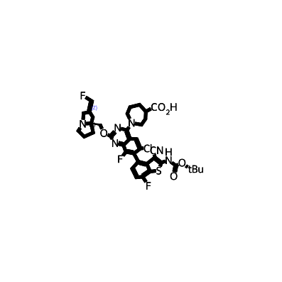 CC(C)(C)OC(=O)Nc1sc2c(F)ccc(-c3c(Cl)cc4c(N5CCCC(C(=O)O)CC5)nc(OC[C@@]56CCCN5C/C(=C\F)C6)nc4c3F)c2c1C#N